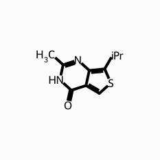 Cc1nc2c(C(C)C)scc2c(=O)[nH]1